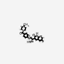 CN1CCN(C(=O)c2ccc(N/C=C(\N=N)c3cc4cc(F)cnc4[nH]c3=O)cc2)CC1